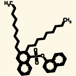 CCCCCCCCCc1cc2ccccc2c(S(=O)(=O)Oc2cccc3ccccc23)c1CCCCCCCCC